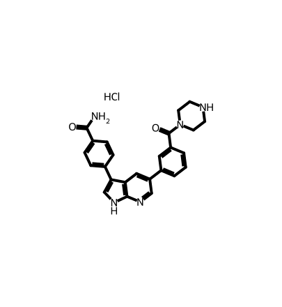 Cl.NC(=O)c1ccc(-c2c[nH]c3ncc(-c4cccc(C(=O)N5CCNCC5)c4)cc23)cc1